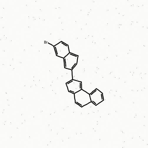 Brc1ccc2ccc(-c3ccc4ccc5ccccc5c4c3)cc2c1